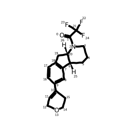 O=C(N1CCC[C@@H]2c3cc(C4=CCOCC4)ccc3C[C@@H]21)C(F)(F)F